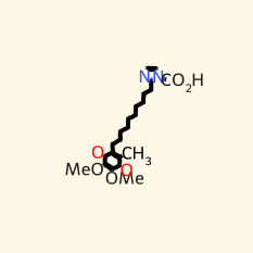 COC1=C(OC)C(=O)C(CCCCCCCCCCc2nccn2C(=O)O)=C(C)C1=O